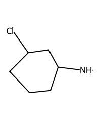 [NH]C1CCCC(Cl)C1